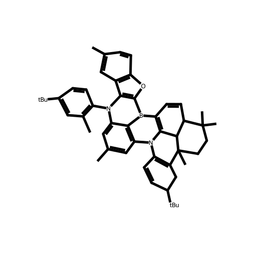 Cc1cc2c3c(c1)N(c1ccc(C(C)(C)C)cc1C)c1c(oc4ccc(C)cc14)B3C1=C3C4C(C=C1)C(C)(C)CCC4(C)C1=C(C=CC(C(C)(C)C)C1)N32